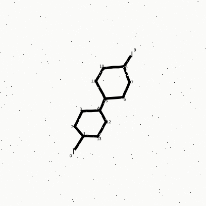 IC1CCC(C2CCC(I)CC2)CC1